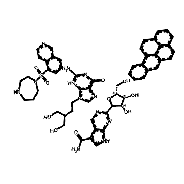 NC(=O)c1c[nH]c2nc(C3O[C@H](CO)[C@@H](O)[C@H]3O)ncc12.Nc1nc(=O)c2ncn(CCC(CO)CO)c2[nH]1.O=S(=O)(c1cccc2cnccc12)N1CCCNCC1.c1ccc2c(c1)cc1ccc3cccc4ccc2c1c34